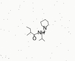 CCC(C)C(=O)N[C@@H](CN1CCCCC1)C(C)C